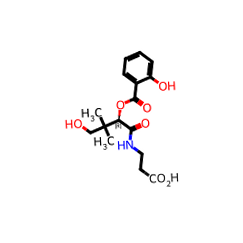 CC(C)(CO)[C@@H](OC(=O)c1ccccc1O)C(=O)NCCC(=O)O